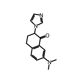 CN(C)c1ccc2c(c1)C(=O)C(n1ccnc1)CC2